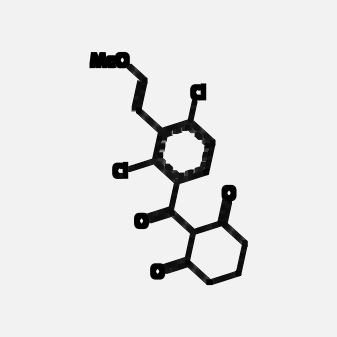 COC=Cc1c(Cl)ccc(C(=O)C2C(=O)CCCC2=O)c1Cl